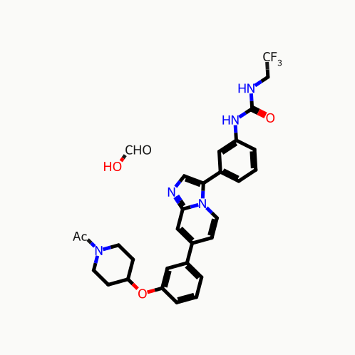 CC(=O)N1CCC(Oc2cccc(-c3ccn4c(-c5cccc(NC(=O)NCC(F)(F)F)c5)cnc4c3)c2)CC1.O=CO